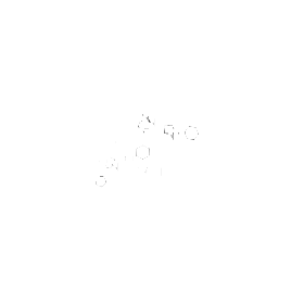 C=CC(c1cn(-c2ccccc2)nc1OCc1ccc(OCc2nc(-c3ccco3)oc2C)c(OC)c1)n1cncn1